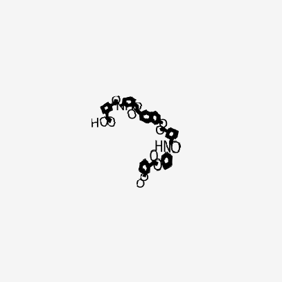 O=COc1cccc(C(=O)Oc2cccc(NC(=O)c3cccc(C(=O)Oc4ccc5cc(C(=O)Oc6cccc(NC(=O)c7cccc(C(=O)O)c7)c6)ccc5c4)c3)c2)c1